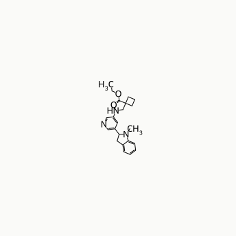 CCOC(=O)C1(CNc2cncc(C3Cc4ccccc4N3C)c2)CCC1